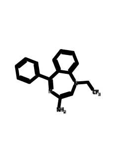 NC1=CN(CC(F)(F)F)c2ccccc2C(c2ccccc2)=N1